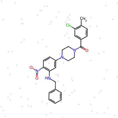 Cc1ccc(C(=O)N2CCN(c3ccc([N+](=O)[O-])c(NCc4ccccc4)c3)CC2)cc1Cl